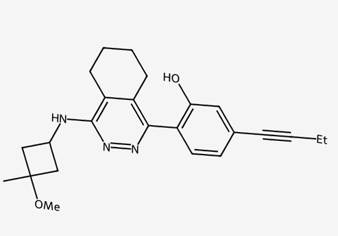 CCC#Cc1ccc(-c2nnc(NC3CC(C)(OC)C3)c3c2CCCC3)c(O)c1